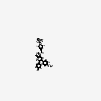 Cc1ccc(-c2nc3cnn(CC4C5CN(C(=O)OC(C)(C)C)CC54)c3cc2-c2ccc(C#N)cc2)cc1